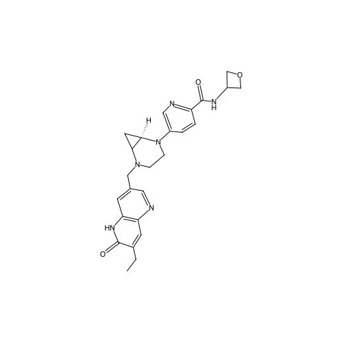 CCc1cc2ncc(CN3CCN(c4ccc(C(=O)NC5COC5)nc4)[C@@H]4CC43)cc2[nH]c1=O